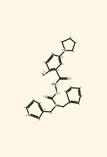 O=C(NOC(=O)N(Cc1ccccc1)Cc1cccnc1)c1cc(N2CCCC2)ccc1Br